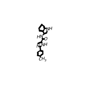 Cc1ccc(-c2ncc(C(=O)Nc3c[nH]c4ccccc34)[nH]2)cc1